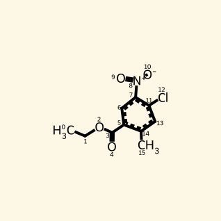 CCOC(=O)c1cc([N+](=O)[O-])c(Cl)cc1C